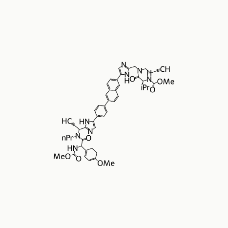 C#CCCN(Cc1ncc(-c2ccc3cc(-c4ccc(-c5cnc(C(C#C)N(CCC)C(=O)C(NC(=O)OC)C6=CC=C(OC)CC6)[nH]5)cc4)ccc3c2)[nH]1)C(=O)[C@@H](NC(=O)OC)C(C)C